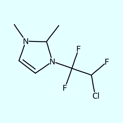 CC1N(C)C=CN1C(F)(F)C(F)Cl